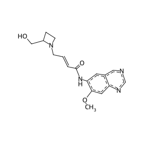 COc1cc2ncncc2cc1NC(=O)/C=C/CN1CCC1CO